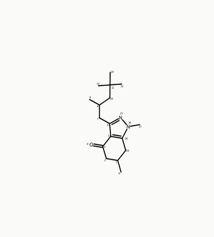 CC1CC(=O)c2c(CC(C)CC(C)(C)C)nn(C)c2C1